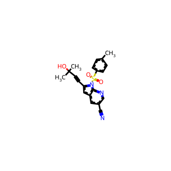 Cc1ccc(S(=O)(=O)n2c(C#CC(C)(C)O)cc3cc(C#N)cnc32)cc1